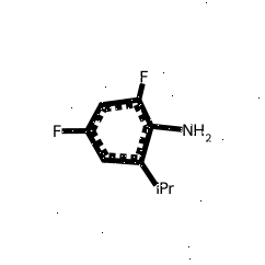 CC(C)c1cc(F)cc(F)c1N